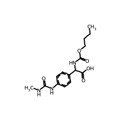 CCCCOC(=O)NC(C(=O)O)c1ccc(NC(=O)NC)cc1